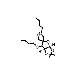 CCCCOCC1(C=O)O[C@H]2OC(C)(C)O[C@H]2C1OCCCC